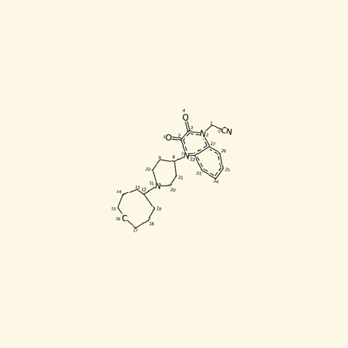 N#CCn1c(=O)c(=O)n(C2CCN(C3CCCCCCC3)CC2)c2ccccc21